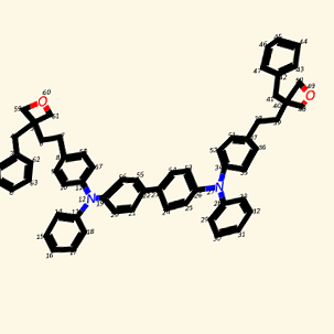 c1ccc(CC2(CCc3ccc(N(c4ccccc4)c4ccc(-c5ccc(N(c6ccccc6)c6ccc(CCC7(Cc8ccccc8)COC7)cc6)cc5)cc4)cc3)COC2)cc1